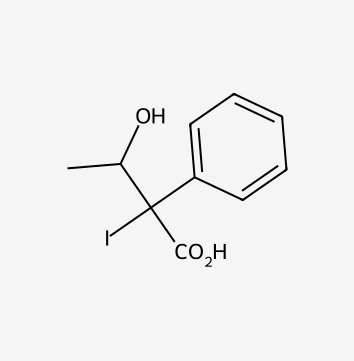 CC(O)C(I)(C(=O)O)c1ccccc1